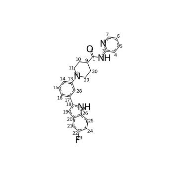 O=C(Nc1ccccn1)C1CCN(c2cccc(-c3cc4cc(F)ccc4[nH]3)c2)CC1